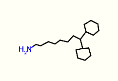 NCCCCCCCC(C1CCCCC1)C1CCCCC1